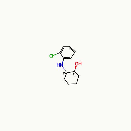 O[C@H]1CCCC[C@@H]1Nc1ccccc1Cl